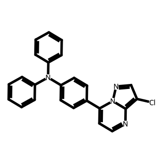 Clc1cnn2c(-c3ccc(N(c4ccccc4)c4ccccc4)cc3)ccnc12